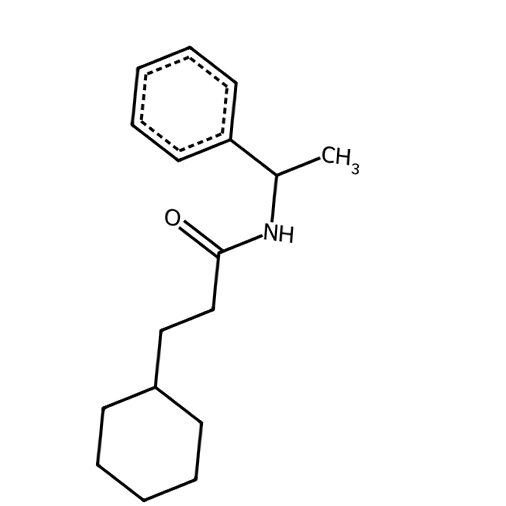 CC(NC(=O)CCC1CCCCC1)c1ccccc1